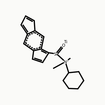 C[N+](C)(C1CCCCC1)[Si](=O)C1=c2cc3c(cc2C=C1)=CC=C3.[Ti]